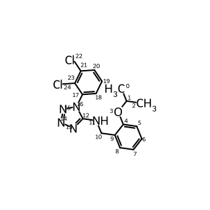 CC(C)Oc1ccccc1CNc1nnnn1-c1cccc(Cl)c1Cl